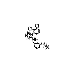 CC(C)(C)[Si](C)(C)Oc1cccc(CNc2nnnn2-c2cccc(Cl)c2Cl)c1